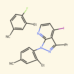 CCc1cc(C#N)ccc1-n1nc(C(C)C)c2c(I)ccnc21.CCc1cc(C#N)ccc1F